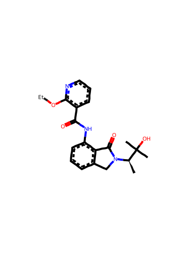 CCOc1ncccc1C(=O)Nc1cccc2c1C(=O)N([C@H](C)C(C)(C)O)C2